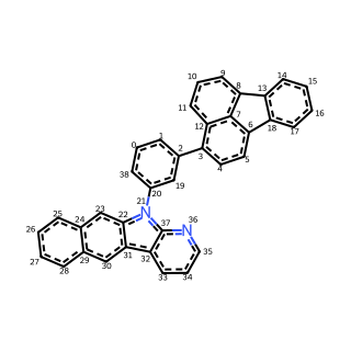 c1cc(-c2ccc3c4c(cccc24)-c2ccccc2-3)cc(-n2c3cc4ccccc4cc3c3cccnc32)c1